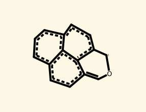 [C]1OC=c2ccc3cccc4ccc1c2c43